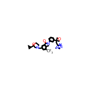 Cn1cnnc1CC1(c2cccc(N3Cc4c(cc(CN5CCOC(C6CC6)C5)cc4C(F)(F)F)C3=O)c2)COC1